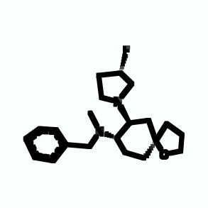 CN(Cc1ccccc1)[C@H]1CC[C@@]2(CCCO2)C[C@@H]1N1CC[C@H](F)C1